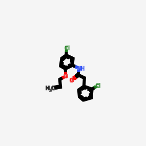 C=CCOc1ccc(Cl)cc1NC(=O)Cc1ccccc1Cl